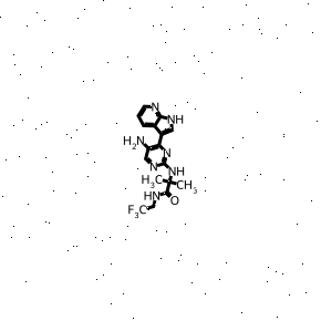 CC(C)(Nc1ncc(N)c(-c2c[nH]c3ncccc23)n1)C(=O)NCC(F)(F)F